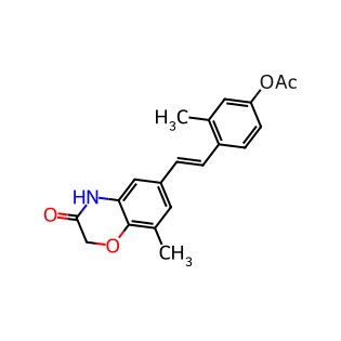 CC(=O)Oc1ccc(/C=C/c2cc(C)c3c(c2)NC(=O)CO3)c(C)c1